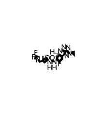 Nc1ncnc2c1c(-c1ccc(NC(=O)Nc3cc(CN4CC(F)(F)C4)no3)c(F)c1)nn2C1CC1